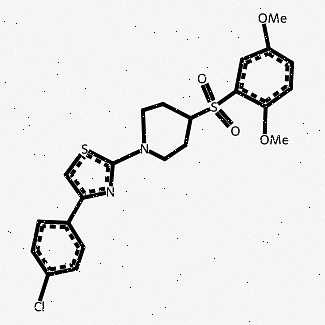 COc1ccc(OC)c(S(=O)(=O)C2CCN(c3nc(-c4ccc(Cl)cc4)cs3)CC2)c1